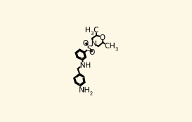 CC1CN(S(=O)(=O)c2cccc(NCc3ccc(N)cc3)c2)CC(C)O1